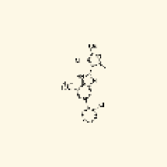 Cn1nc(C(C)(C)C)c(Cl)c1-c1nc2cc(-c3ccccc3Cl)cc(C(F)(F)F)c2[nH]1.[NaH]